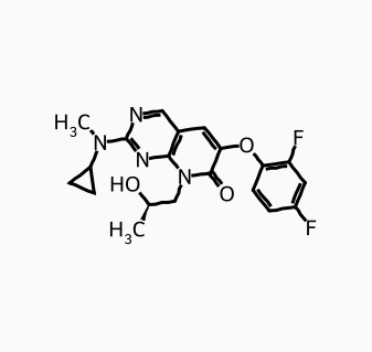 C[C@@H](O)Cn1c(=O)c(Oc2ccc(F)cc2F)cc2cnc(N(C)C3CC3)nc21